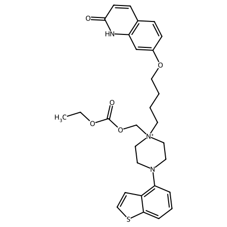 CCOC(=O)OC[N+]1(CCCCOc2ccc3ccc(=O)[nH]c3c2)CCN(c2cccc3sccc23)CC1